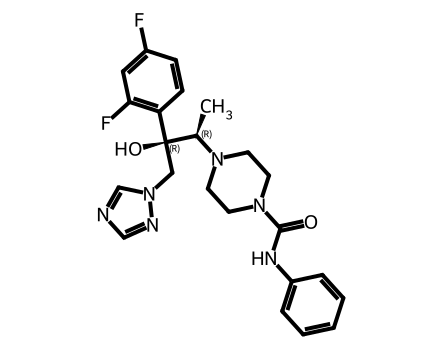 C[C@@H](N1CCN(C(=O)Nc2ccccc2)CC1)[C@](O)(Cn1cncn1)c1ccc(F)cc1F